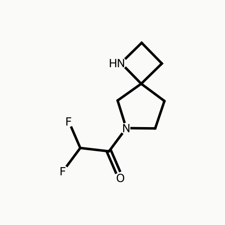 O=C(C(F)F)N1CCC2(CCN2)C1